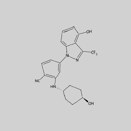 N#Cc1ccc(-n2nc(C(F)(F)F)c3c(O)cccc32)cc1N[C@H]1CC[C@H](O)CC1